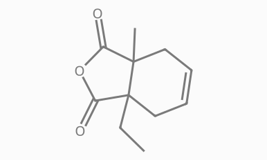 CCC12CC=CCC1(C)C(=O)OC2=O